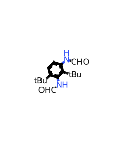 CC(C)(C)c1c[c]c(NC=O)c(C(C)(C)C)c1NC=O